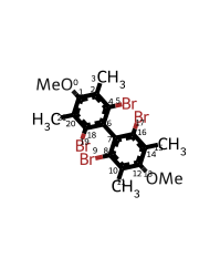 COc1c(C)c(Br)c(-c2c(Br)c(C)c(OC)c(C)c2Br)c(Br)c1C